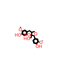 COc1cc(CC2COC(c3ccc(O)c(OC)c3)C2(O)CO)ccc1O